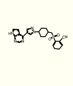 N#CC1=CCCC=C1S(=O)(=O)CC1CCC(n2cc(-c3ncnc4[nH]ccc34)cn2)CC1